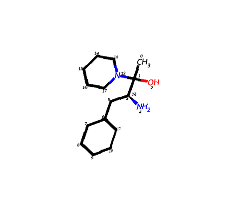 CC(O)([C@@H](N)CC1CCCCC1)N1CCCCC1